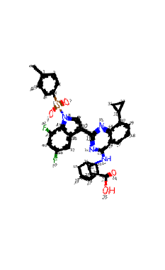 Cc1ccc(S(=O)(=O)n2cc(-c3nc(NC4C5CCC(CC5)C4C(=O)O)c4cccc(C5CC5)c4n3)c3cc(F)cc(F)c32)cc1